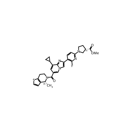 COC(=O)[C@H]1CCN(c2ccc(-c3cn4cc(C(=O)N5CCc6sccc6[C@H]5C)cc(C5CC5)c4n3)c(F)n2)C1